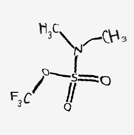 CN(C)S(=O)(=O)OC(F)(F)F